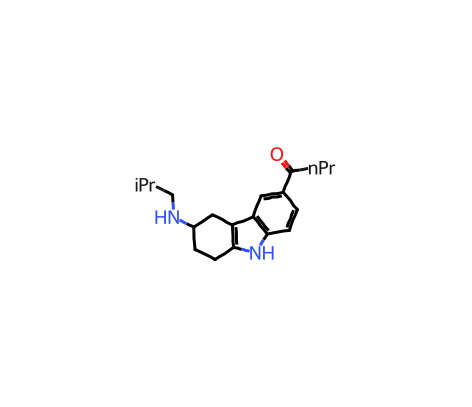 CCCC(=O)c1ccc2[nH]c3c(c2c1)CC(NCC(C)C)CC3